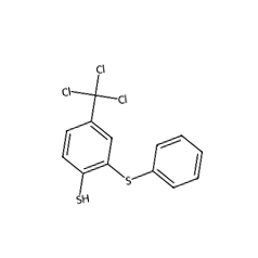 Sc1ccc(C(Cl)(Cl)Cl)cc1Sc1ccccc1